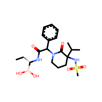 CC[C@H](NC(=O)C(c1ccccc1)N1CCCC(NS(C)(=O)=O)(C(C)C)C1=O)B(O)O